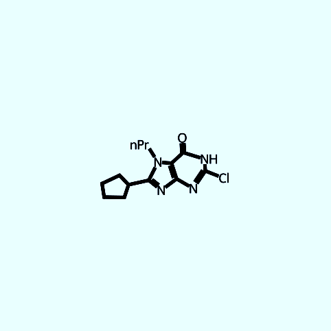 CCCn1c(C2CCCC2)nc2nc(Cl)[nH]c(=O)c21